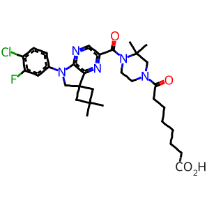 CC1(C)CC2(CN(c3ccc(Cl)c(F)c3)c3ncc(C(=O)N4CCN(C(=O)CCCCCCC(=O)O)CC4(C)C)nc32)C1